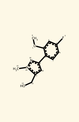 COc1cc(F)ccc1-c1cc(CO)n(C)n1